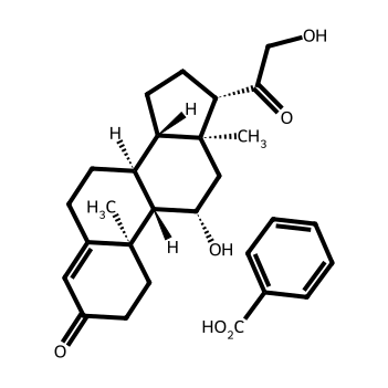 C[C@]12C[C@H](O)[C@H]3[C@@H](CCC4=CC(=O)CC[C@@]43C)[C@@H]1CC[C@@H]2C(=O)CO.O=C(O)c1ccccc1